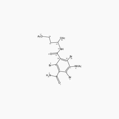 CC(=O)Nc1c(Br)c(C(N)=O)c(Br)c(C(=O)NC(CCOC(C)=O)OC(C)=O)c1Br